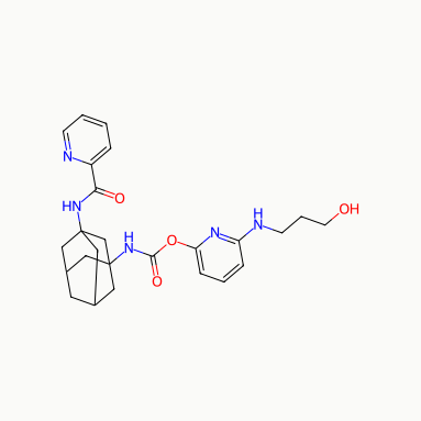 O=C(NC12CC3CC(C1)CC(NC(=O)c1ccccn1)(C3)C2)Oc1cccc(NCCCO)n1